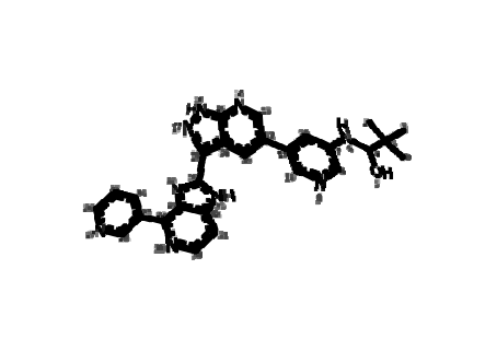 CC(C)(C)C(O)Nc1cncc(-c2cnc3[nH]nc(-c4nc5c(-c6cccnc6)nccc5[nH]4)c3c2)c1